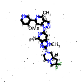 COc1ccncc1-c1cc2c(cnn2-c2cc3c(nc(N4CCN5CC(F)(F)C[C@@H]5C4)n3C)c(C(C)C)n2)c(C)n1